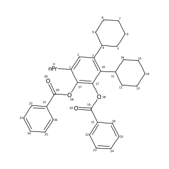 CCCc1cc(C2CCCCC2)c(C2CCCCC2)c(OC(=O)c2ccccc2)c1OC(=O)c1ccccc1